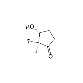 C[C@@]1(F)C(=O)CC[C@H]1O